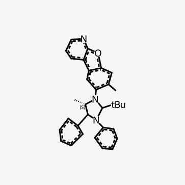 Cc1cc2oc3ncccc3c2cc1N1C(C(C)(C)C)N(c2ccccc2)C(c2ccccc2)[C@@H]1C